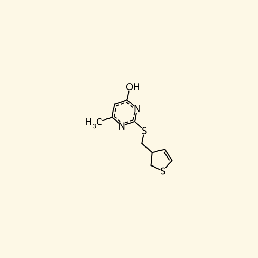 Cc1cc(O)nc(SCC2C=CSC2)n1